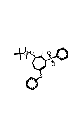 C[C@H]1[C@H](O[Si](C)(C)C(C)(C)C)CCC(Sc2ccccc2)=C[C@@H]1S(=O)(=O)c1ccccc1